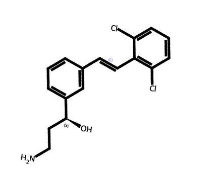 NCC[C@H](O)c1cccc(/C=C/c2c(Cl)cccc2Cl)c1